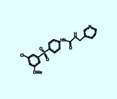 COc1cc(Cl)cc(S(=O)(=O)c2ccc(NC(=O)NCc3cccnc3)cc2)c1